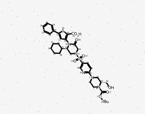 CC(C)(C)OC(=O)N1CCN(c2ccc(S(=O)(=O)N3CC(=O)N(c4cc(-c5ccccc5)sc4C(=O)O)[C@H](C4CCCCC4)C3)cn2)C[C@@H]1CO